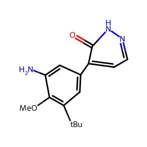 COc1c(N)cc(-c2ccn[nH]c2=O)cc1C(C)(C)C